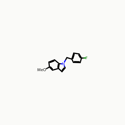 COc1ccc2c(ccn2Cc2ccc(F)cc2)c1